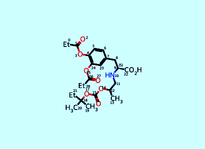 CCC(=O)Oc1ccc(C[C@H](NCC(C)OC(=O)OC(C)(C)CC)C(=O)O)cc1OC(=O)CC